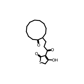 O=C(CCC1CCCCCCCCCCC1=O)C1=C(O)CSC1=O